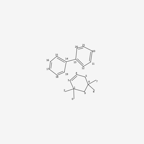 CC1(C)C=CCC(C)(C)C1.c1ccc(-c2ccccc2)cc1